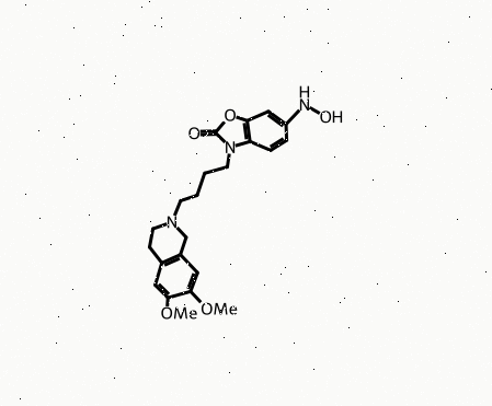 COc1cc2c(cc1OC)CN(CCCCn1c(=O)oc3cc(NO)ccc31)CC2